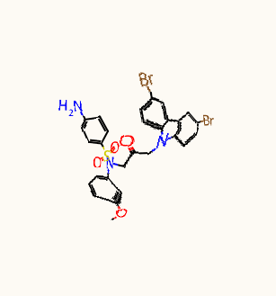 COc1cccc(N(CC(=O)Cn2c3ccc(Br)cc3c3cc(Br)ccc32)S(=O)(=O)c2ccc(N)cc2)c1